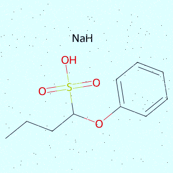 CCCC(Oc1ccccc1)S(=O)(=O)O.[NaH]